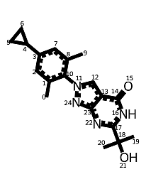 Cc1cc(C2CC2)cc(C)c1-n1cc2c(=O)[nH]c(C(C)(C)O)nc2n1